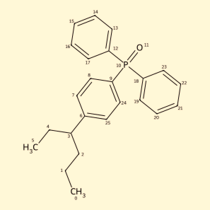 CCCC(CC)c1ccc(P(=O)(c2ccccc2)c2ccccc2)cc1